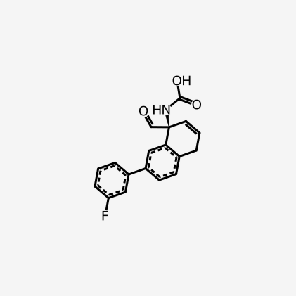 O=C[C@]1(NC(=O)O)C=CCc2ccc(-c3cccc(F)c3)cc21